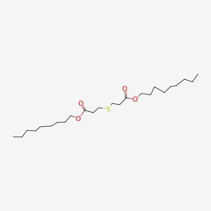 CCCCCCCCCOC(=O)CCSCCC(=O)OCCCCCCCCC